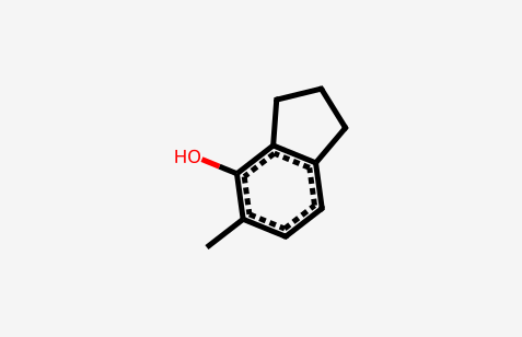 Cc1ccc2c(c1O)CCC2